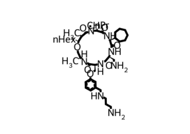 CCCCCC[C@H]1OC[C@@H](C)NC(=O)[C@H](COc2cccc(CNCCCN)c2)NC(=O)[C@H](CN)NC(=O)[C@H](C2CCCCCC2)NC(=O)[C@H](CCC)N(C)C(=O)[C@@H]1C